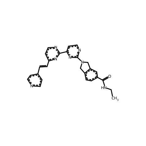 CCNC(=O)c1ccc2c(c1)CN(c1nccc(-c3nccc(/C=C/c4ccncc4)n3)n1)C2